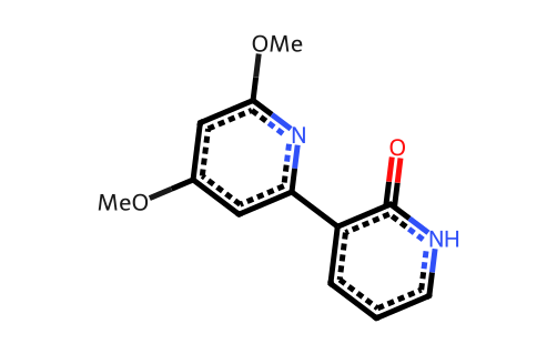 COc1cc(OC)nc(-c2ccc[nH]c2=O)c1